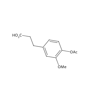 COc1cc(CCC(=O)O)ccc1OC(C)=O